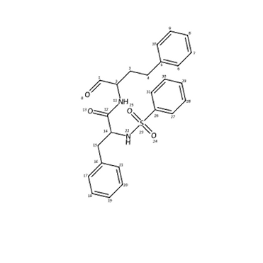 O=CC(CCc1ccccc1)NC(=O)C(Cc1ccccc1)NS(=O)(=O)c1ccccc1